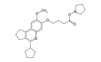 COc1cc2c3c(c(C4CCCC4)nc2cc1OCCCC(=O)ON1CCCC1)CCC3